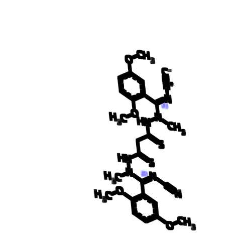 [C-]#[N+]/N=C(\c1cc(OC)ccc1OC)N(C)NC(=S)CC(=S)NN(C)/C(=N/C#N)c1cc(OC)ccc1OC